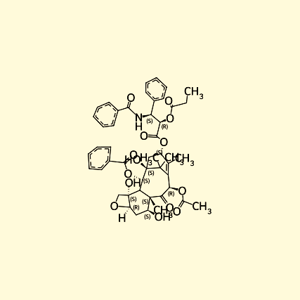 CCC(=O)O[C@@H](C(=O)O[C@H]1C[C@@]2(O)[C@@H](OC(=O)c3ccccc3)C3[C@]4(O)CO[C@@H]4C[C@H](O)[C@@]3(C)C(=O)[C@H](OC(C)=O)C(=C1C)C2(C)C)[C@@H](NC(=O)c1ccccc1)c1ccccc1